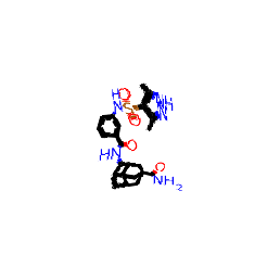 Cc1n[nH]c(C)c1S(=O)(=O)Nc1cccc(C(=O)NC2C3CC4CC2CC(C(N)=O)(C4)C3)c1